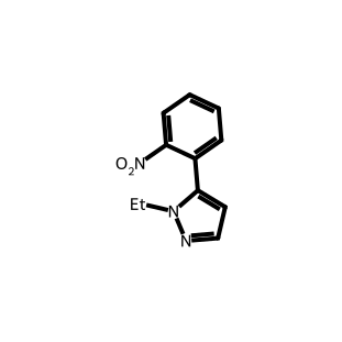 CCn1nccc1-c1ccccc1[N+](=O)[O-]